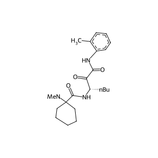 CCCC[C@H](NC(=O)C1(NC)CCCCC1)C(=O)C(=O)Nc1ccccc1C